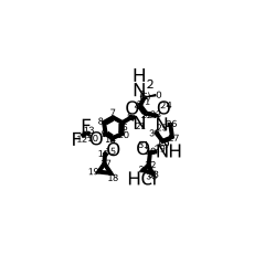 C[C@H](N)c1oc(-c2ccc(OC(F)F)c(OCC3CC3)c2)nc1C(=O)N1CC[C@H](NC(=O)C2CC2)C1.Cl